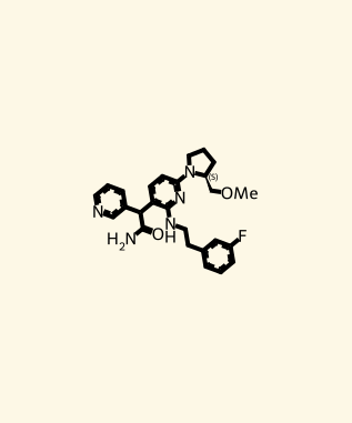 COC[C@@H]1CCCN1c1ccc(C(C(N)=O)c2cccnc2)c(NCCc2cccc(F)c2)n1